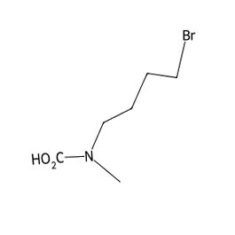 CN(CCCCBr)C(=O)O